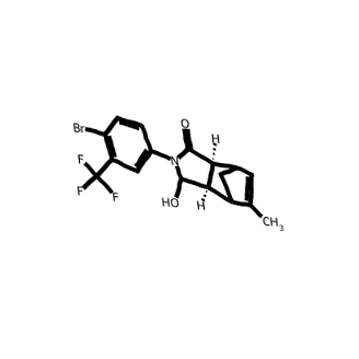 CC1=CC2CC1[C@H]1C(O)N(c3ccc(Br)c(C(F)(F)F)c3)C(=O)[C@@H]21